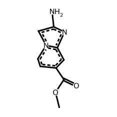 COC(=O)c1ccn2cc(N)nc2c1